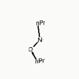 CCC[N]OCCC